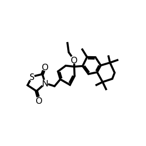 CCOC1(c2cc3c(cc2C)C(C)(C)CCC3(C)C)C=CC(CN2C(=O)CSC2=O)=CC1